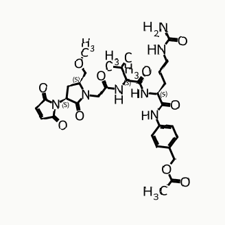 COC[C@@H]1C[C@H](N2C(=O)C=CC2=O)C(=O)N1CC(=O)N[C@H](C(=O)N[C@@H](CCCNC(N)=O)C(=O)Nc1ccc(COC(C)=O)cc1)C(C)C